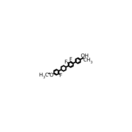 CCOc1ccc(C2CCC(c3ccc(-c4ccc(C(C)O)cc4)c(F)c3F)CC2)c(F)c1